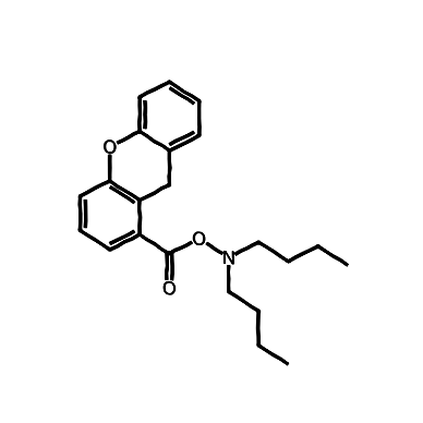 CCCCN(CCCC)OC(=O)c1cccc2c1Cc1ccccc1O2